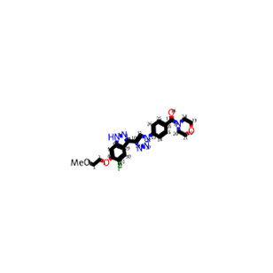 COCCOc1cc2[nH]nc(-c3cn(-c4ccc(C(=O)N5CCOCC5)cc4)nn3)c2cc1F